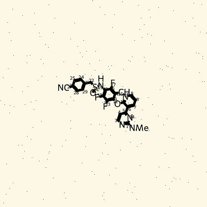 CNc1nccc(-c2cccnc2Oc2c(C)c(F)c(N[S+]([O-])Cc3ccc(C#N)cc3)c(F)c2F)n1